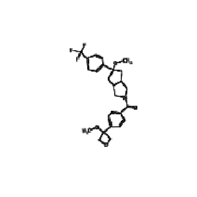 COC1(c2ccc(C(=O)N3CC4CC(OC)(c5ccc(C(F)(F)F)cc5)CC4C3)cc2)COC1